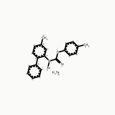 CC(=O)N(C(=[Te])Oc1ccc(C)cc1)c1cc(C)ccc1-c1ccccc1.[TeH2]